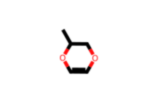 CC1COC=CO1